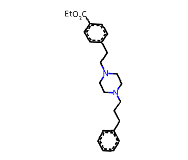 CCOC(=O)c1ccc(CCN2CCN(CCCc3ccccc3)CC2)cc1